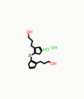 Cl.Cl.OCCCC1=[C]([Zr][C]2=C(CCCO)C=CC2)CC=C1